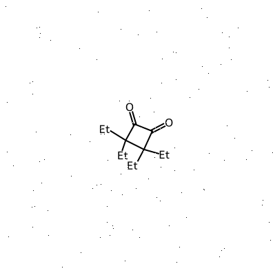 CCC1(CC)C(=O)C(=O)C1(CC)CC